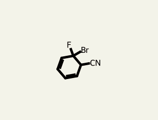 N#CC1C=CC=CC1(F)Br